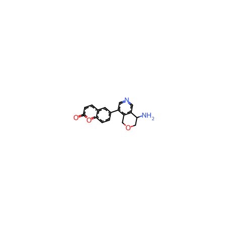 NC1COCc2c(-c3ccc4oc(=O)ccc4c3)cncc21